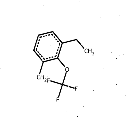 [CH2]c1cccc(CC)c1OC(F)(F)F